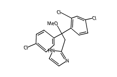 COC(Cc1ncc[nH]1)(c1ccc(Cl)cc1)c1ccc(Cl)cc1Cl